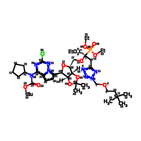 CCOC(=O)[C@](Cc1nnn(COCC[Si](C)(C)C)n1)(OC[C@H]1O[C@H](c2ccc3c(N(C(=O)OC(C)(C)C)C4CCCC4)nc(Cl)nn23)[C@@H]2OC(C)(C)O[C@@H]21)P(=O)(OCC)OCC